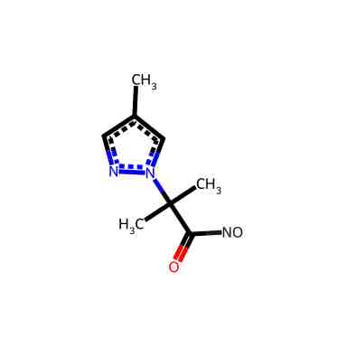 Cc1cnn(C(C)(C)C(=O)N=O)c1